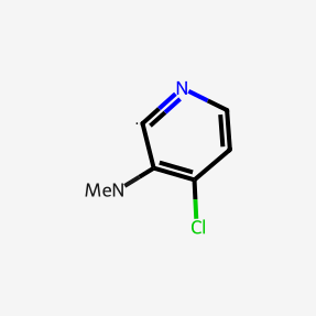 CNc1[c]nccc1Cl